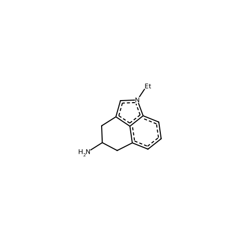 CCn1cc2c3c(cccc31)CC(N)C2